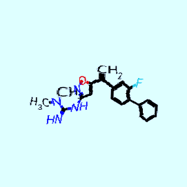 C=C(c1ccc(-c2ccccc2)c(F)c1)c1cc(NC(=N)N(C)C)no1